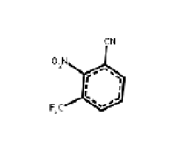 N#Cc1cccc(C(F)(F)F)c1[N+](=O)[O-]